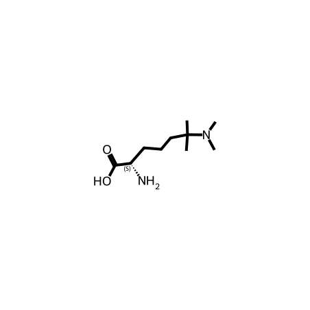 CN(C)C(C)(C)CCC[C@H](N)C(=O)O